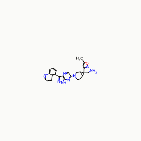 Cc1cc(C2(CN)C3CCN(c4cnc5c(-c6cccc7ncccc67)n[nH]c5n4)CC32)no1